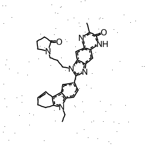 CCn1c2c(c3cc(-c4nc5cc6[nH]c(=O)c(C)nc6cc5n4CCCN4CCCC4=O)ccc31)C=CCC2